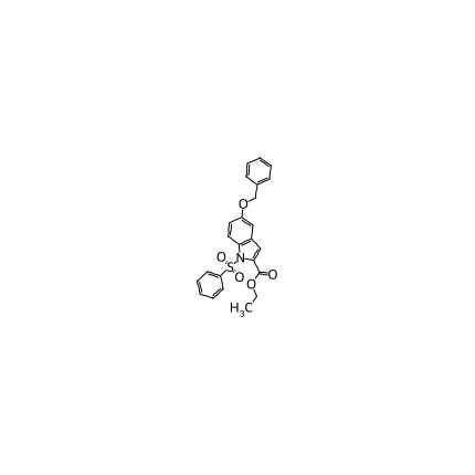 CCOC(=O)c1cc2cc(OCc3ccccc3)ccc2n1S(=O)(=O)c1ccccc1